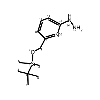 CC(C)(C)[Si](C)(C)OCc1cccc(NN)n1